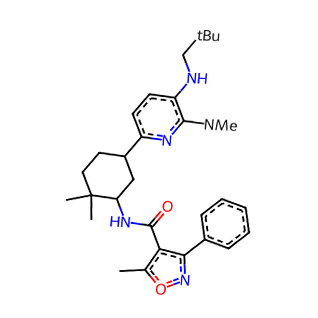 CNc1nc(C2CCC(C)(C)C(NC(=O)c3c(-c4ccccc4)noc3C)C2)ccc1NCC(C)(C)C